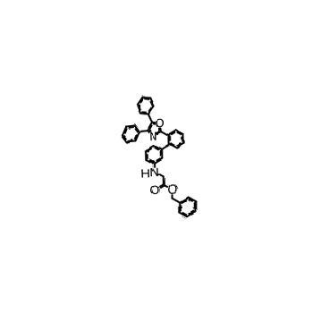 O=C(CNc1cccc(-c2ccccc2-c2nc(-c3ccccc3)c(-c3ccccc3)o2)c1)OCc1ccccc1